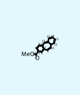 COC(=O)c1ccc2c(c1)C=CC1C=CC=CC1=C2